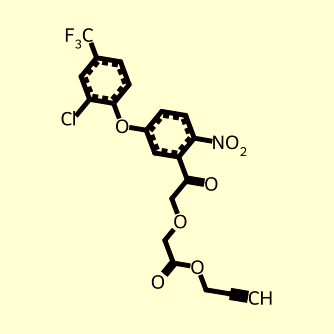 C#CCOC(=O)COCC(=O)c1cc(Oc2ccc(C(F)(F)F)cc2Cl)ccc1[N+](=O)[O-]